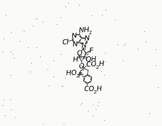 Nc1nc(Cl)nc2c1ncn2[C@@H]1O[C@@H]2C(OC(Cc3ccc(C(=O)O)cc3F)(C(=O)O)C(=O)O)[C@]2(O)[C@@H]1F